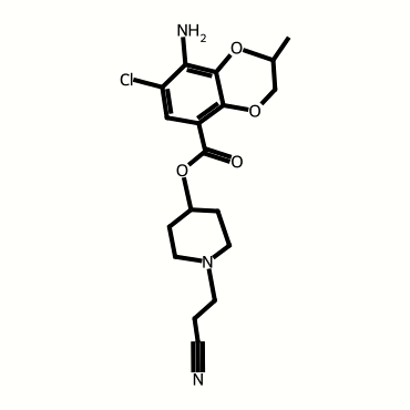 CC1COc2c(C(=O)OC3CCN(CCC#N)CC3)cc(Cl)c(N)c2O1